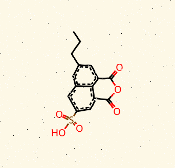 CCCc1cc2c3c(cc(S(=O)(=O)O)cc3c1)C(=O)OC2=O